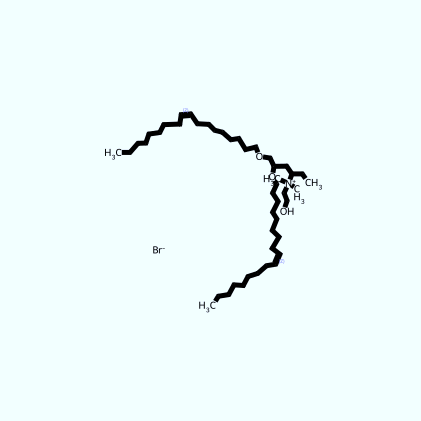 CCCCCCCC/C=C\CCCCCCCCOCC(CC(CC)[N+](C)(C)CCO)OCCCCCCCC/C=C\CCCCCCCC.[Br-]